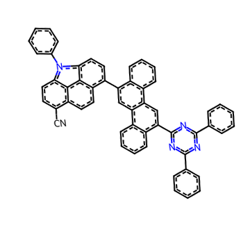 N#Cc1ccc2c3c1ccc1c(-c4cc5c6ccccc6c(-c6nc(-c7ccccc7)nc(-c7ccccc7)n6)cc5c5ccccc45)ccc(c13)n2-c1ccccc1